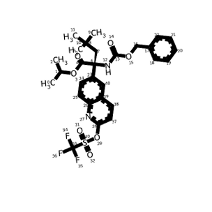 CC(C)OC(=O)[C@](CC(C)(C)C)(NC(=O)OCc1ccccc1)c1ccc2nc(OS(=O)(=O)C(F)(F)F)ccc2c1